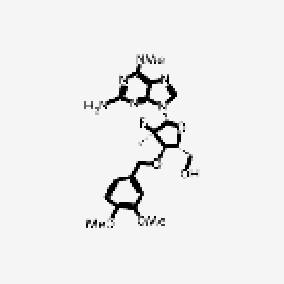 CNc1nc(N)nc2c1ncn2[C@@H]1O[C@H](CO)[C@@H](OCc2ccc(OC)c(OC)c2)[C@@]1(C)F